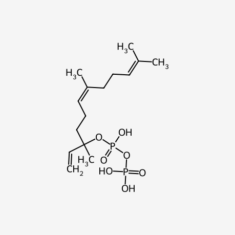 C=CC(C)(CCC=C(C)CCC=C(C)C)OP(=O)(O)OP(=O)(O)O